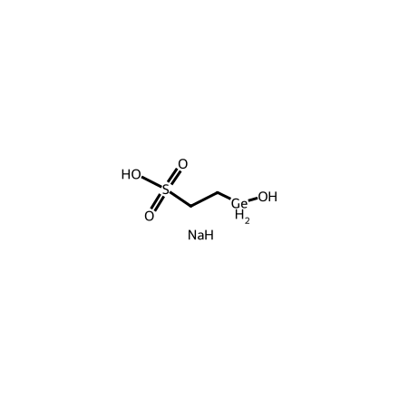 O=S(=O)(O)C[CH2][GeH2][OH].[NaH]